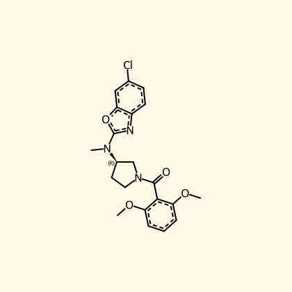 COc1cccc(OC)c1C(=O)N1CC[C@@H](N(C)c2nc3ccc(Cl)cc3o2)C1